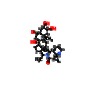 CC([C@H]1CC[C@@]2(O)C3=CC(=O)C4C[C@@H](O)[C@@H](O)C[C@]4(C)C3CC[C@]12C)N(Cc1cccnc1)C(=O)C1CC1